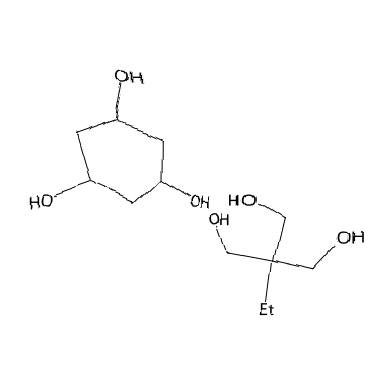 CCC(CO)(CO)CO.OC1CC(O)CC(O)C1